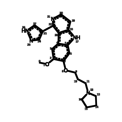 COc1cc2c(cc1OCCCN1CCCC1)[nH]c1ccnc(-c3cn[nH]c3)c12